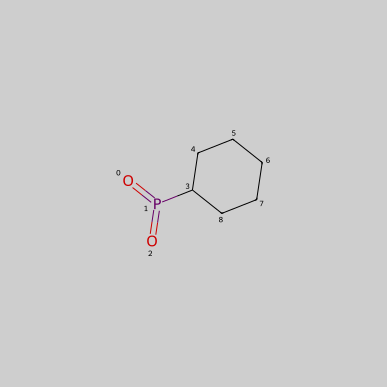 O=P(=O)C1CCCCC1